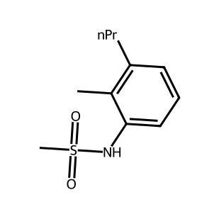 CCCc1cccc(NS(C)(=O)=O)c1C